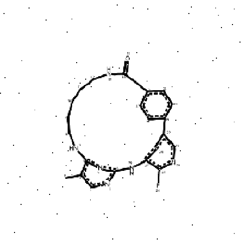 Cc1cnc2nc1NCCCCCNC(=O)c1ccc(cc1)-c1cnc(F)c(c1)N2